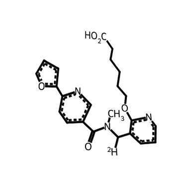 [2H]C(c1cccnc1OCCCCCC(=O)O)N(C)C(=O)c1ccc(-c2ccco2)nc1